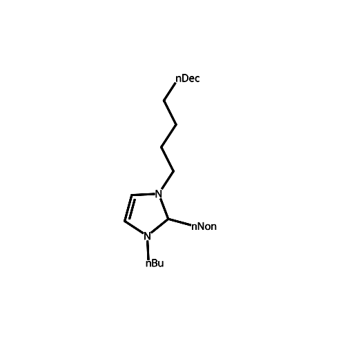 CCCCCCCCCCCCCCN1C=CN(CCCC)C1CCCCCCCCC